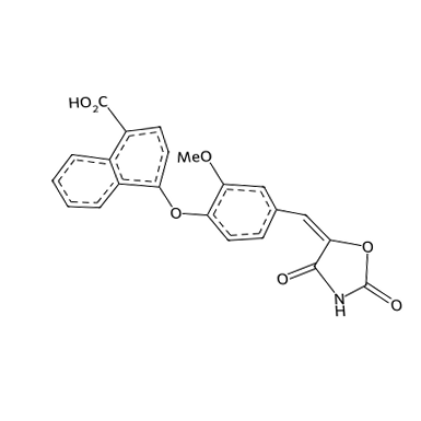 COc1cc(C=C2OC(=O)NC2=O)ccc1Oc1ccc(C(=O)O)c2ccccc12